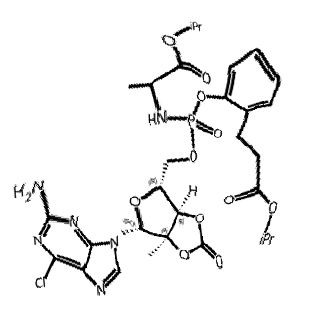 CC(C)OC(=O)CCc1ccccc1OP(=O)(NC(C)C(=O)OC(C)C)OC[C@H]1O[C@@H](n2cnc3c(Cl)nc(N)nc32)[C@]2(C)OC(=O)O[C@H]12